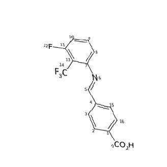 O=C(O)c1ccc(/C=N/c2cccc(F)c2C(F)(F)F)cc1